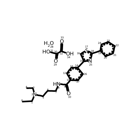 CCN(CC)CCCNC(=O)c1ccc(-c2csc(-c3ccccc3)n2)cc1.O.O=C(O)C(=O)O